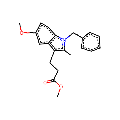 COC(=O)CCc1c(C)n(Cc2ccccc2)c2ccc(OC)cc12